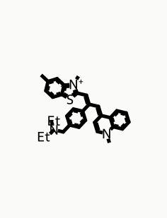 CCN(CC)Cc1ccc(C(=C\c2sc3ccc(C)cc3[n+]2C)/C=C2\C=CN(C)c3ccccc32)cc1